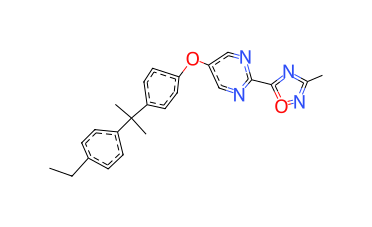 CCc1ccc(C(C)(C)c2ccc(Oc3cnc(-c4nc(C)no4)nc3)cc2)cc1